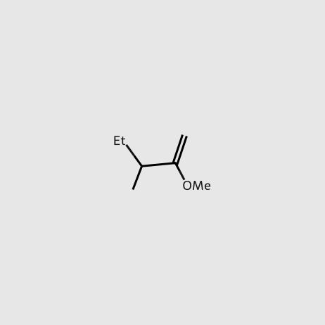 C=C(OC)C(C)CC